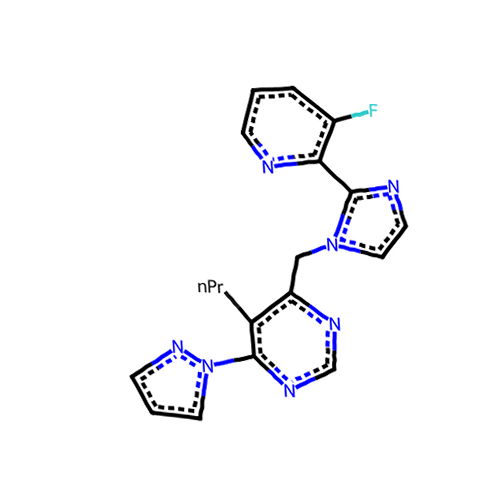 CCCc1c(Cn2ccnc2-c2ncccc2F)ncnc1-n1cccn1